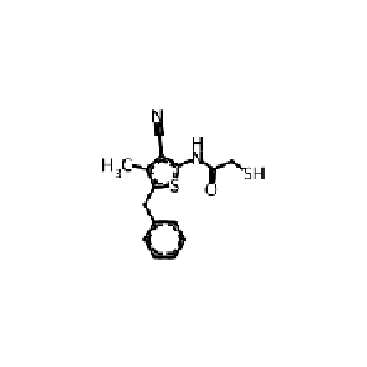 Cc1c(Cc2ccccc2)sc(NC(=O)CS)c1C#N